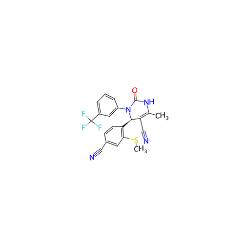 CSc1cc(C#N)ccc1[C@@H]1C(C#N)=C(C)NC(=O)N1c1cccc(C(F)(F)F)c1